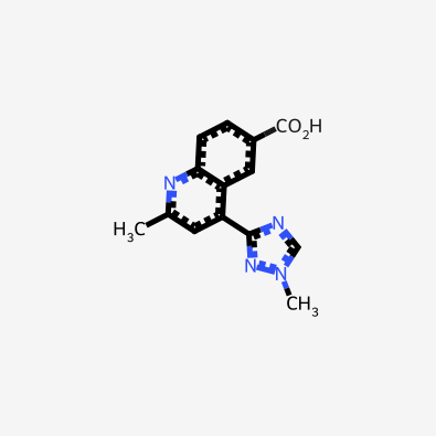 Cc1cc(-c2ncn(C)n2)c2cc(C(=O)O)ccc2n1